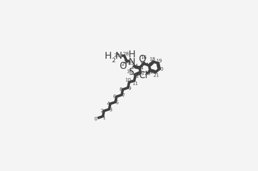 CCCCCCCCCCCCc1cc(C(=O)c2ccccc2Cl)c(NC(=O)CN)s1